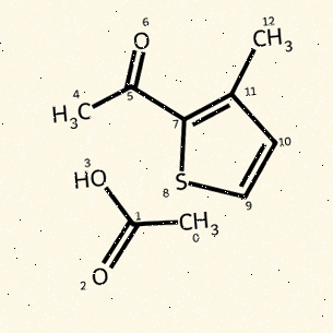 CC(=O)O.CC(=O)c1sccc1C